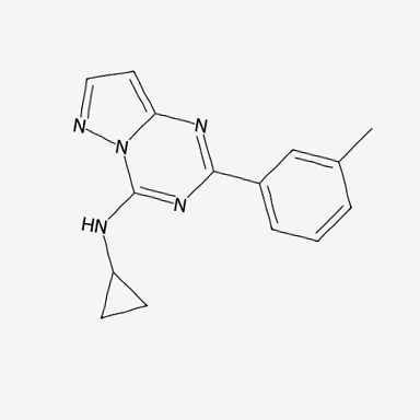 Cc1cccc(-c2nc(NC3CC3)n3nccc3n2)c1